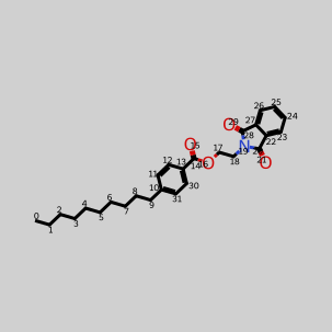 CCCCCCCCCCc1ccc(C(=O)OCCN2C(=O)c3ccccc3C2=O)cc1